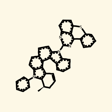 C[C@@H]1CC=Cc2c1n(-c1ccccc1)c1ccc3ccc4c(c5ccccc5n4-c4nc5c6c(cccc6n4)Sc4ccccc4-5)c3c21